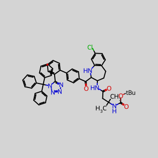 CC(C)(CC(=O)NC1CCc2ccc(Cl)cc2NC1C(=O)c1ccc(-c2ccccc2-c2nnnn2C(c2ccccc2)(c2ccccc2)c2ccccc2)cc1)NC(=O)OC(C)(C)C